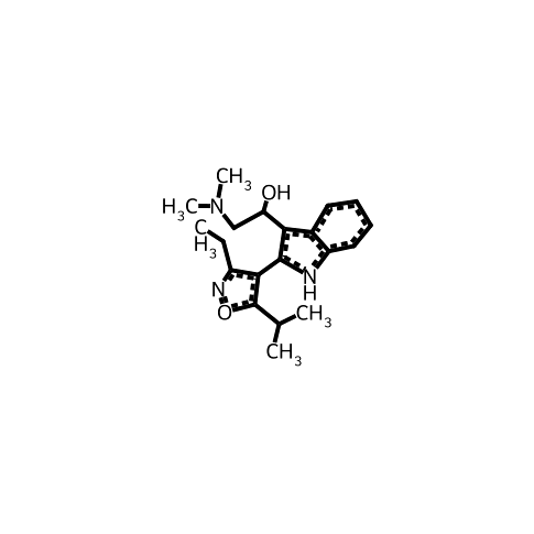 CCc1noc(C(C)C)c1-c1[nH]c2ccccc2c1C(O)CN(C)C